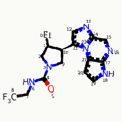 CCC1CN(C(=O)NCC(F)(F)F)C[C@@H]1c1cnc2cnc3[nH]ccc3n12